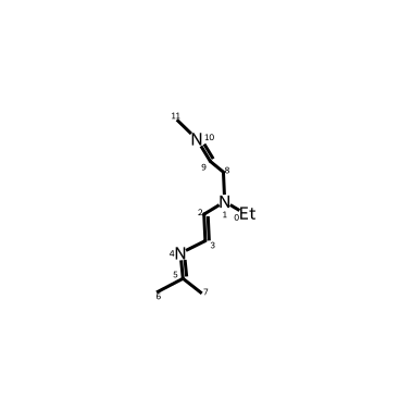 CCN(C=CN=C(C)C)C/C=N/C